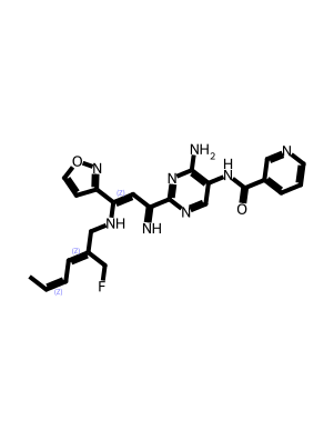 C/C=C\C=C(/CF)CN/C(=C\C(=N)c1ncc(NC(=O)c2cccnc2)c(N)n1)c1ccon1